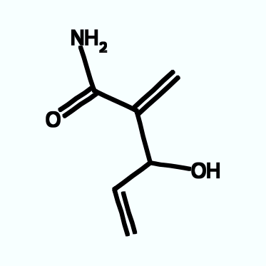 C=CC(O)C(=C)C(N)=O